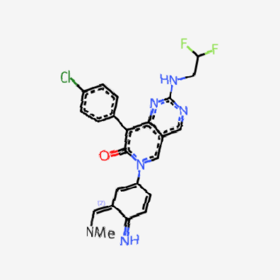 CN/C=C1/C=C(n2cc3cnc(NCC(F)F)nc3c(-c3ccc(Cl)cc3)c2=O)C=CC1=N